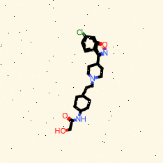 O=C(CO)NC1CCC(CCN2CCC(c3noc4cc(Cl)ccc34)CC2)CC1